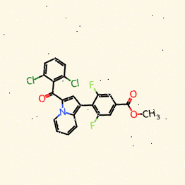 COC(=O)c1cc(F)c(-c2cc(C(=O)c3c(Cl)cccc3Cl)n3ccccc23)c(F)c1